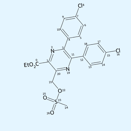 CCOC(=O)c1nc(-c2ccc(Cl)cc2)c(-c2ccc(Cl)cc2)nc1COS(C)(=O)=O